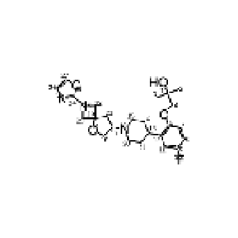 CC(C)(O)COc1ccc(F)cc1C1CCN([C@@H]2COC3(C2)CN(c2ncco2)C3)CC1